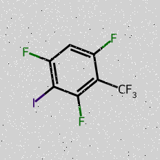 Fc1cc(F)c(C(F)(F)F)c(F)c1I